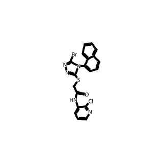 O=C(CSc1nnc(Br)n1-c1cccc2ccccc12)Nc1cccnc1Cl